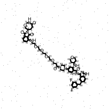 O=C1CCC(N2C(=O)c3cccc(NCCOCCOCCOCCOCCC(=O)N4CCN(c5ccc(C(=O)Nc6n[nH]c7ccc(Cc8cc(F)cc(F)c8)cc67)c(NC6CCOCC6)c5)CC4)c3C2=O)COCN1